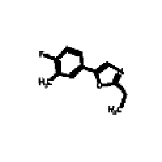 CCc1ncc(-c2ccc(F)c(C)c2)o1